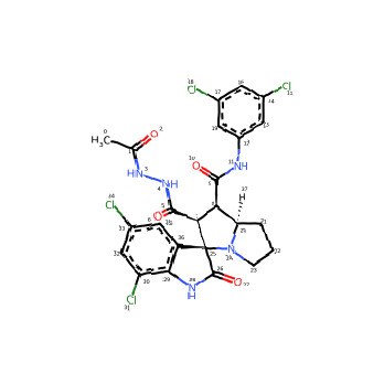 CC(=O)NNC(=O)[C@H]1[C@@H](C(=O)Nc2cc(Cl)cc(Cl)c2)[C@H]2CCCN2[C@]12C(=O)Nc1c(Cl)cc(Cl)cc12